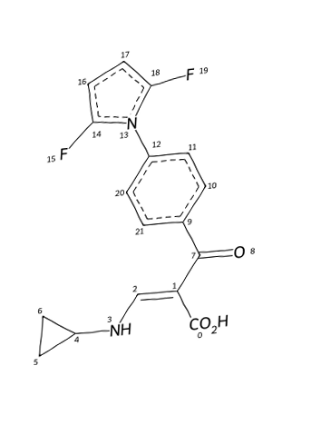 O=C(O)C(=CNC1CC1)C(=O)c1ccc(-n2c(F)ccc2F)cc1